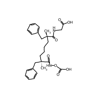 C[C@@](CCCC[C@](C)(Cc1ccccc1)C(=O)NOC(=O)O)(Cc1ccccc1)C(=O)NCC(=O)O